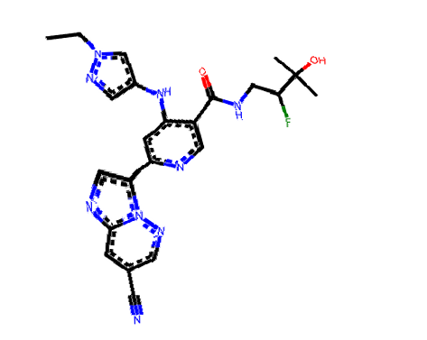 CCn1cc(Nc2cc(-c3cnc4cc(C#N)cnn34)ncc2C(=O)NCC(F)C(C)(C)O)cn1